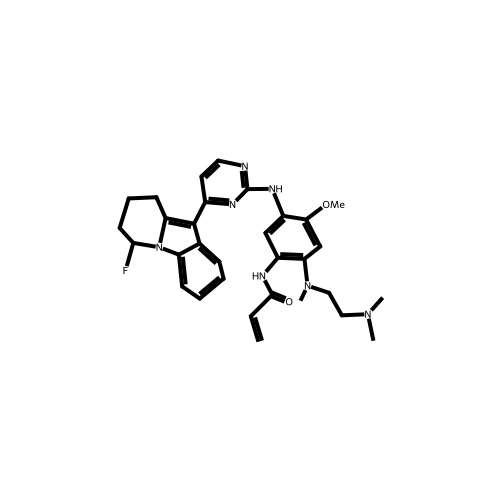 C=CC(=O)Nc1cc(Nc2nccc(-c3c4n(c5ccccc35)C(F)CCC4)n2)c(OC)cc1N(C)CCN(C)C